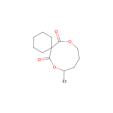 CCC1CCCOC(=O)C2(CCCCC2)C(=O)O1